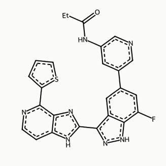 CCC(=O)Nc1cncc(-c2cc(F)c3[nH]nc(-c4nc5c(-c6cccs6)nccc5[nH]4)c3c2)c1